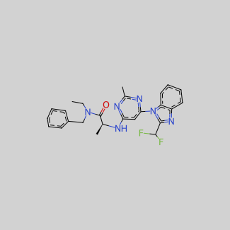 CCN(Cc1ccccc1)C(=O)[C@H](C)Nc1cc(-n2c(C(F)F)nc3ccccc32)nc(C)n1